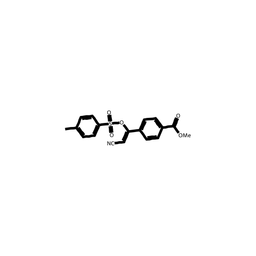 COC(=O)c1ccc(/C(=C/C#N)OS(=O)(=O)c2ccc(C)cc2)cc1